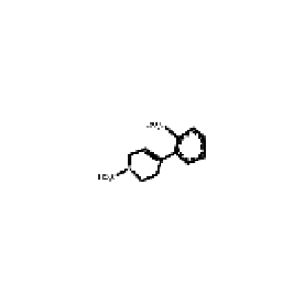 CCOC(=O)c1ccccc1C1=CCN(C(=O)O)CC1